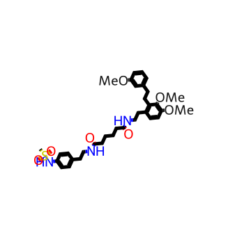 COc1cccc(CCc2c(CCNC(=O)CCCCC(=O)NCCc3ccc(NS(C)(=O)=O)cc3)ccc(OC)c2OC)c1